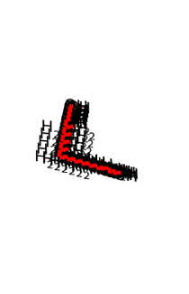 Nc1nc(N)nc(N)n1.Nc1nc(N)nc(N)n1.Nc1nc(N)nc(N)n1.Nc1nc(N)nc(N)n1.Nc1nc(N)nc(N)n1.Nc1nc(N)nc(N)n1.Nc1nc(N)nc(N)n1.Nc1nc(N)nc(N)n1.Nc1nc(N)nc(N)n1.Nc1nc(N)nc(N)n1.O=P(O)(O)O.O=P(O)(O)O.O=P(O)(O)O.O=P(O)(O)O.O=P(O)(O)O.O=P(O)(O)O.O=P(O)(O)O.O=P(O)(O)O